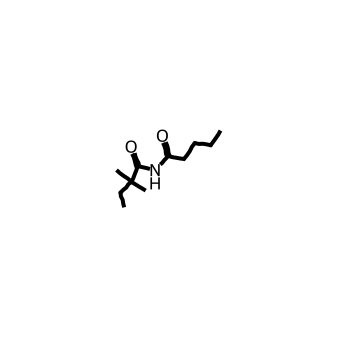 CCCCC(=O)NC(=O)C(C)(C)CC